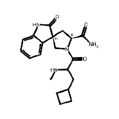 CNC(CC1CCC1)C(=O)N1C[C@]2(C[C@H]1C(N)=O)C(=O)Nc1ccccc12